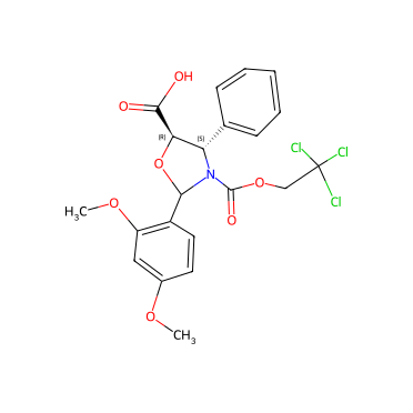 COc1ccc(C2O[C@@H](C(=O)O)[C@H](c3ccccc3)N2C(=O)OCC(Cl)(Cl)Cl)c(OC)c1